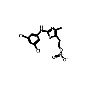 Cc1nc(Nc2cc(Cl)cc(Cl)c2)sc1CCO[N+](=O)[O-]